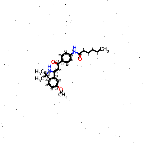 CCCCCC(=O)Nc1ccc(C(=O)/C=C2\NC(C)(C)c3ccc(OC)cc32)cc1